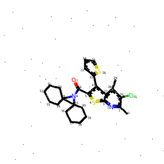 Cc1nc2sc(C(=O)N3C4(CCCCC4)C34CCCCC4)c(-c3cccs3)c2c(C)c1Cl